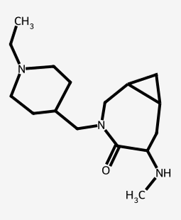 CCN1CCC(CN2CC3CC3CC(NC)C2=O)CC1